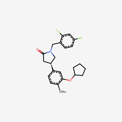 COc1ccc([C@H]2CC(=O)N(Cc3ccc(F)cc3F)C2)cc1OC1CCCC1